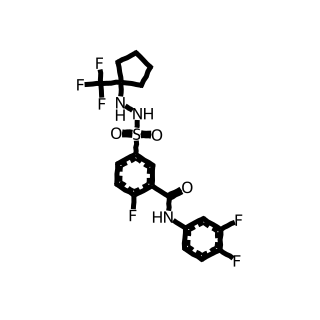 O=C(Nc1ccc(F)c(F)c1)c1cc(S(=O)(=O)NNC2(C(F)(F)F)CCCC2)ccc1F